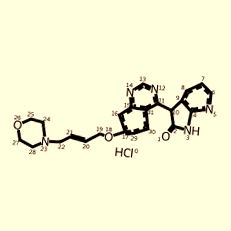 Cl.O=C1Nc2ncccc2C1c1ncnc2cc(OCC=CCN3CCOCC3)ccc12